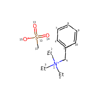 CC[N+](CC)(CC)Cc1ccccc1.CS(=O)(=O)[O-]